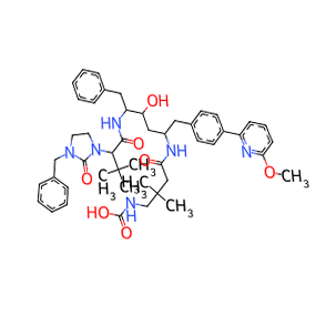 COc1cccc(-c2ccc(CC(CC(O)C(Cc3ccccc3)NC(=O)C(N3CCN(Cc4ccccc4)C3=O)C(C)(C)C)NC(=O)CC(C)(C)CNC(=O)O)cc2)n1